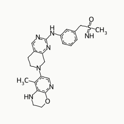 Cc1c(N2CCc3cnc(Nc4cccc(CS(C)(=N)=O)c4)nc3C2)cnc2c1NCCO2